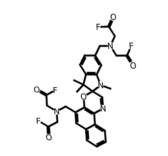 CN1c2cc(CN(CC(=O)F)CC(=O)F)ccc2C(C)(C)C12C=Nc1c(c(CN(CC(=O)F)CC(=O)F)cc3ccccc13)O2